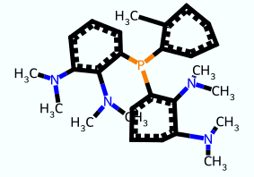 Cc1ccccc1P(c1cccc(N(C)C)c1N(C)C)c1cccc(N(C)C)c1N(C)C